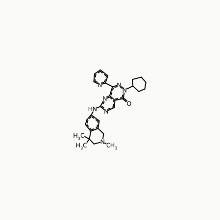 CN1Cc2cc(Nc3ncc4c(=O)n(C5CCCCC5)nc(-c5ccccn5)c4n3)ccc2C(C)(C)C1